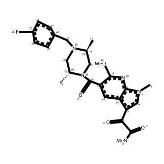 CNC(=O)C(=O)c1cn(C)c2nc(OC)c(C(=O)N3C[C@H](C)N(Cc4ccc(F)cc4)C[C@H]3C)cc12